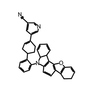 N#Cc1cncc(C2=CCC(c3ccccc3N3c4ccc5c6c(oc5c4C4C=CC=CC43)C=CCC6)CC2)c1